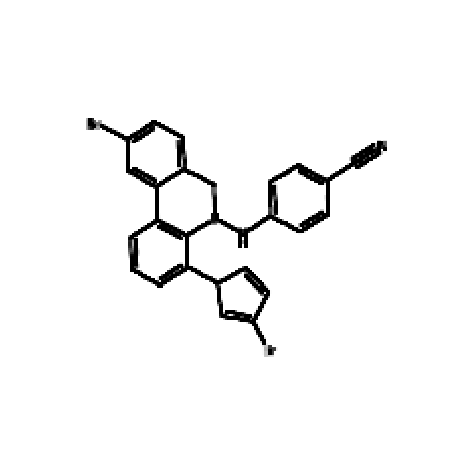 N#Cc1ccc(NB2Cc3ccc(Br)cc3-c3cccc(C4C=CC(Br)=C4)c32)cc1